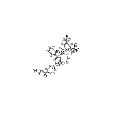 CC(=O)N1CCCN(c2cc(-c3ccccc3)c3c(n2)OCCCN(Cc2cc(C(F)(F)F)cc(C(F)(F)F)c2)C3=O)CC1